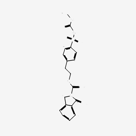 CCCCNC(=O)NS(=O)(=O)c1ccc(CCNC(=O)N2Cc3ccccc3C2=O)cc1